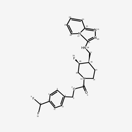 O=C(OCc1ccc(C(F)F)cc1)N1CC[C@H](CNc2nnc3ccccn23)[C@H](F)C1